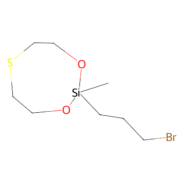 C[Si]1(CCCBr)OCCSCCO1